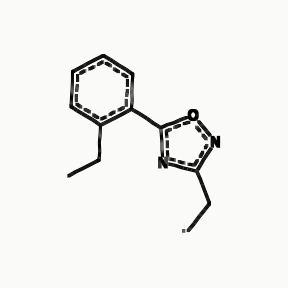 [CH2]Cc1noc(-c2ccccc2CC)n1